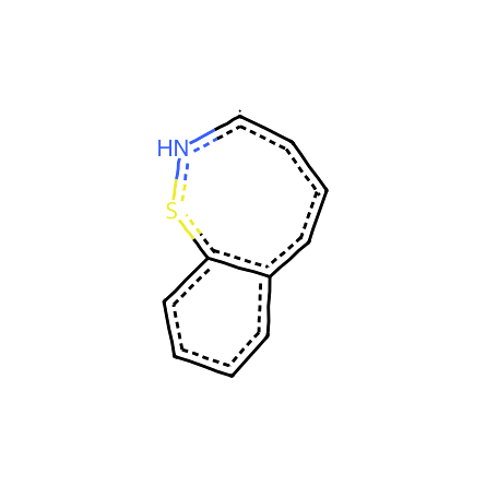 [c]1cccc2ccccc2s[nH]1